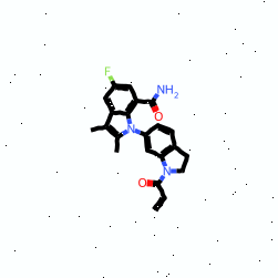 C=CC(=O)N1CCc2ccc(-n3c(C)c(C)c4cc(F)cc(C(N)=O)c43)cc21